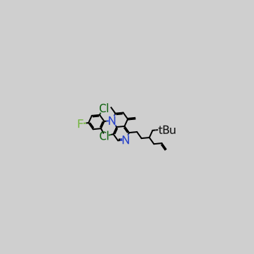 C=CCC(CCc1ncc(Cl)c2c1C(=C)C=C(C)N2c1c(C)cc(F)cc1Cl)CC(C)(C)C